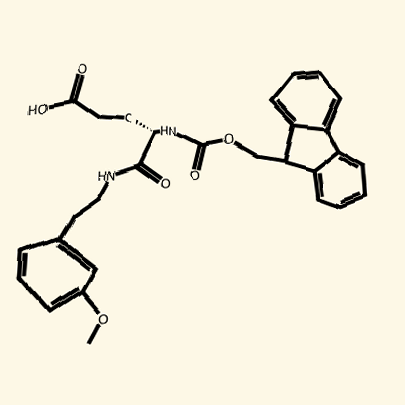 COc1cccc(CCNC(=O)[C@H](CCC(=O)O)NC(=O)OCC2c3ccccc3-c3ccccc32)c1